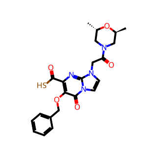 C[C@H]1CN(C(=O)Cn2ccn3c(=O)c(OCc4ccccc4)c(C(=O)S)nc23)C[C@H](C)O1